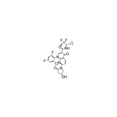 O=C(N[C@H](C1CC1)C(F)(F)F)c1cn(-c2c(F)cc(F)cc2Cl)c2nc(N3C[C@@H](O)CC3=O)ccc2c1=O